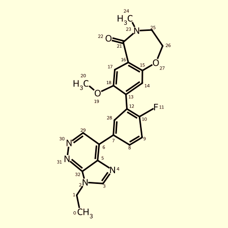 CCn1cnc2c(-c3ccc(F)c(-c4cc5c(cc4OC)C(=O)N(C)CCO5)c3)cnnc21